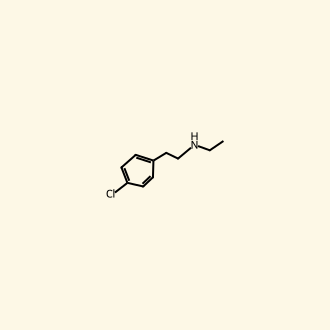 CCNCCc1ccc(Cl)cc1